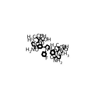 CN(C(=O)O)[C@H](C(=O)N1CCC[C@@]1(C(N)=O)c1ccc([C@H]2CC[C@H](c3ccc([C@]4(C(N)=O)CCCN4C(=O)[C@@H](N(C)C(=O)O)C(C)(C)C)cc3)N2c2cccc(F)c2)cc1)C(C)(C)C